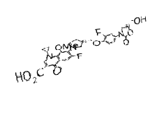 COc1c(N2CC[C@H](COc3ccc(N4C[C@H](CO)OC4=O)cc3F)C2)c(F)cc2c(=O)c(C(=O)O)cn(C3CC3)c12